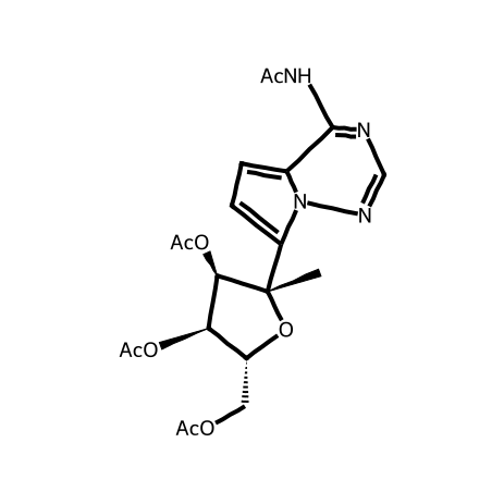 CC(=O)Nc1ncnn2c([C@]3(C)O[C@H](COC(C)=O)[C@@H](OC(C)=O)[C@H]3OC(C)=O)ccc12